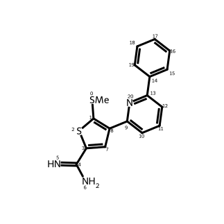 CSc1sc(C(=N)N)cc1-c1cccc(-c2ccccc2)n1